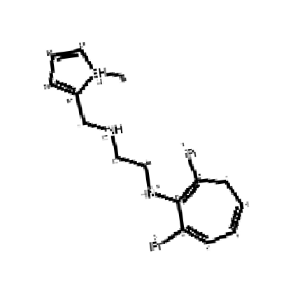 CC(C)C1=CC=CCC(C(C)C)=C1NCCNCC1=CC=C[SH]1C